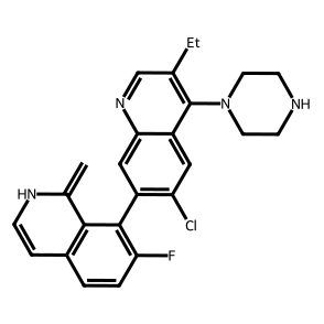 C=C1NC=Cc2ccc(F)c(-c3cc4ncc(CC)c(N5CCNCC5)c4cc3Cl)c21